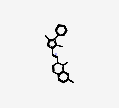 Cc1ccc2c(c1)N(C)C(/C=C/c1cc(C)n(-c3ccccc3)c1C)C=C2